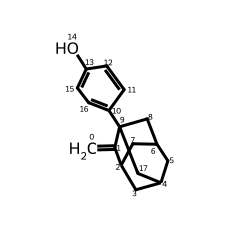 C=C1C2CC3CC(C2)CC1(c1ccc(O)cc1)C3